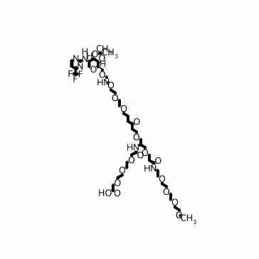 COCCOCCOCCOCCNC(=O)CCOCC(COCCC(=O)CCCOCCOCCONCOC[C@H]1OC[C@H](Nc2nccc(C(F)(F)F)n2)[C@H]2OC(C)(C)O[C@H]21)NC(=O)COCCOCCOCC(=O)O